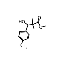 COC(=O)C(C)(C)C(O)c1ccc(N)cc1